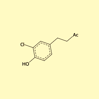 CC(=O)CCc1ccc(O)c(Cl)c1